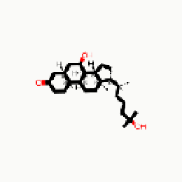 C[C@H](CCCC(C)(C)O)[C@H]1CC[C@H]2[C@@H]3C(O)C[C@@H]4CC(=O)CC[C@]4(C)[C@H]3CC[C@]12C